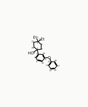 CCC1(CC)CCC(O)(c2cccc(Oc3ccccc3)c2)CC1